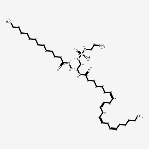 CCCCC/C=C\C/C=C\C/C=C\C/C=C\CCCCCC(=O)O[C@H](COC(=O)CCCCCCCCCCCCC)COP(=O)(O)OCCN